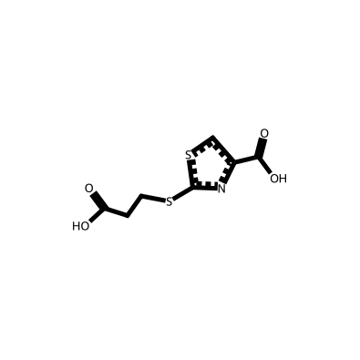 O=C(O)CCSc1nc(C(=O)O)cs1